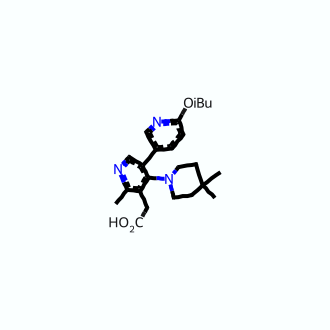 Cc1ncc(-c2ccc(OCC(C)C)nc2)c(N2CCC(C)(C)CC2)c1CC(=O)O